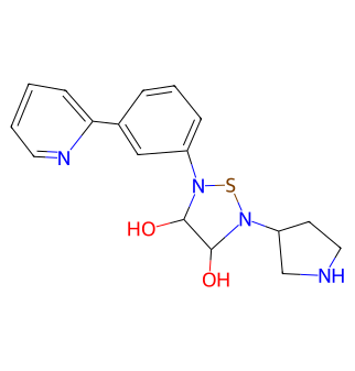 OC1C(O)N(C2CCNC2)SN1c1cccc(-c2ccccn2)c1